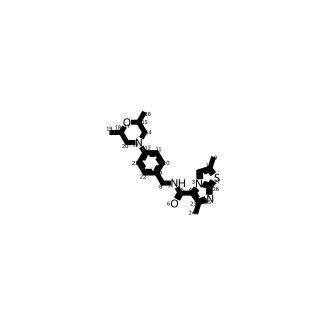 Cc1cn2c(C(=O)NCc3ccc(N4CC(C)OC(C)C4)cc3)c(C)nc2s1